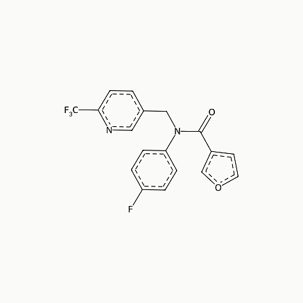 O=C(c1ccoc1)N(Cc1ccc(C(F)(F)F)nc1)c1ccc(F)cc1